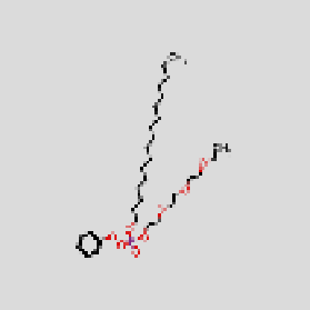 CCCCCCCCCCCCCCCCCOP(=O)(OCCOCCOCCOCC)OOc1ccccc1